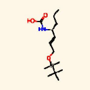 CCC[C@@H](/C=C/CO[Si](C)(C)C(C)(C)C)NC(=O)O